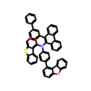 c1ccc(-c2cccc(-c3c(N(c4ccc(-c5cccc6oc7ccccc7c56)cc4)c4cccc5sc6ccccc6c45)c4ccccc4c4ccccc34)c2)cc1